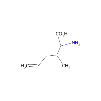 C=CCC(C)C(N)C(=O)O